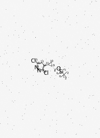 CC(C)(C)[Si](C)(C)OC[C@H]1C[C@@H]1c1cc(Cl)nnc1Cl